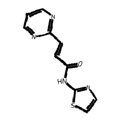 O=C(/C=C/c1ncccn1)Nc1nccs1